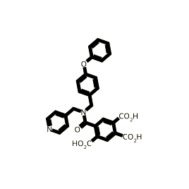 O=C(O)c1cc(C(=O)O)c(C(=O)N(Cc2ccncc2)Cc2ccc(Oc3ccccc3)cc2)cc1C(=O)O